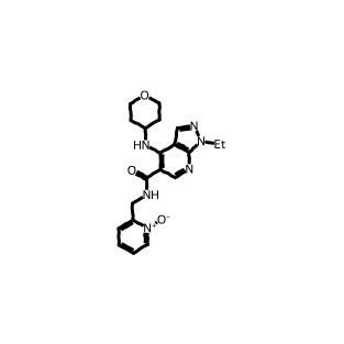 CCn1ncc2c(NC3CCOCC3)c(C(=O)NCc3cccc[n+]3[O-])cnc21